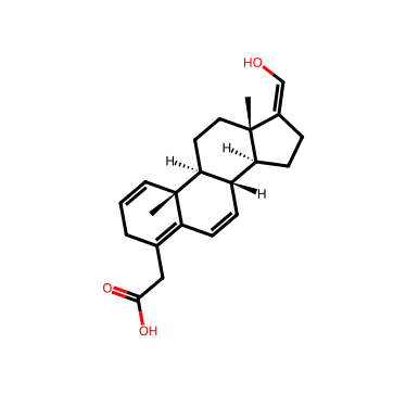 C[C@]12C=CCC(CC(=O)O)=C1C=C[C@@H]1[C@@H]2CC[C@]2(C)/C(=C\O)CC[C@@H]12